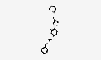 O=C(Nc1ccc(-n2cc(COC3CCCCO3)cn2)c(F)c1)OCc1ccccc1